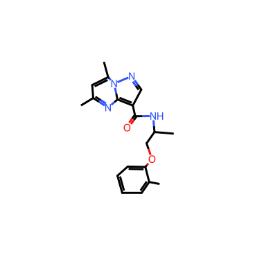 Cc1cc(C)n2ncc(C(=O)NC(C)COc3ccccc3C)c2n1